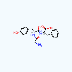 NCC(=O)N[C@@H](Cc1ccc(O)cc1)C(=O)N[C@@H](Cc1ccccc1)C(=O)O